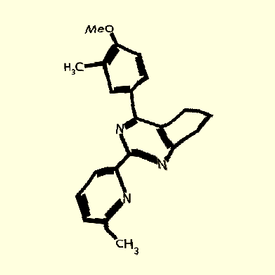 COc1ccc(-c2nc(-c3cccc(C)n3)nc3c2CCC3)cc1C